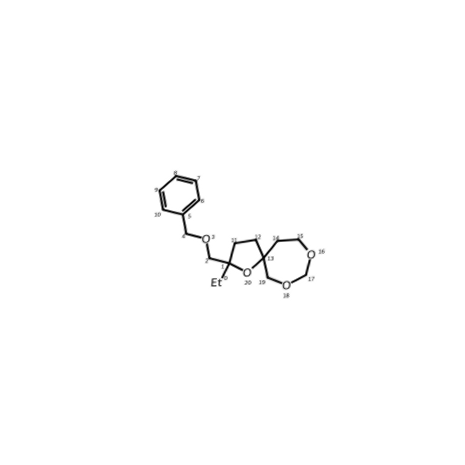 CCC1(COCc2ccccc2)CCC2(CCOCOC2)O1